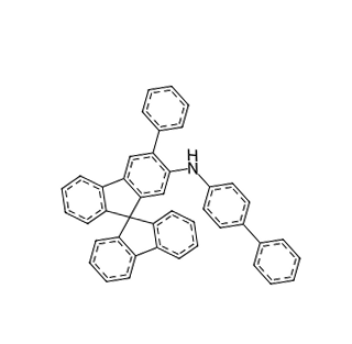 c1ccc(-c2ccc(Nc3cc4c(cc3-c3ccccc3)-c3ccccc3C43c4ccccc4-c4ccccc43)cc2)cc1